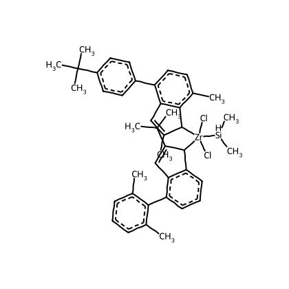 CC1=Cc2c(-c3ccc(C(C)(C)C)cc3)ccc(C)c2[CH]1[Zr]([Cl])([Cl])([CH]1C(C(C)C)=Cc2c(-c3c(C)cccc3C)cccc21)[SiH](C)C